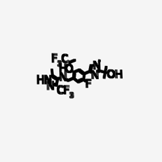 Cc1[nH]nc(C(F)(F)F)c1NCc1cc(F)c(-c2cn(C)c(C(C)(C)O)n2)cc1O[C@@H](C)C(F)(F)F